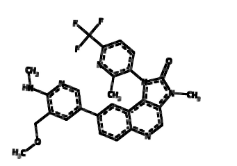 CNc1ncc(-c2ccc3ncc4c(c3c2)n(-c2ccc(C(F)(F)F)nc2C)c(=O)n4C)cc1COC